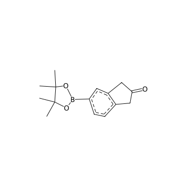 CC1(C)OB(c2ccc3c(c2)CC(=O)C3)OC1(C)C